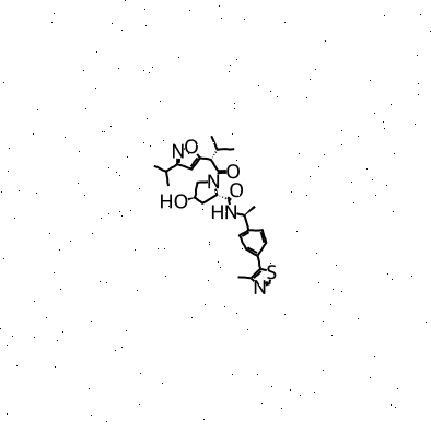 Cc1ncsc1-c1ccc([C@H](C)NC(=O)[C@@H]2C[C@@H](O)CN2C(=O)[C@H](c2cc(C(C)C)no2)C(C)C)cc1